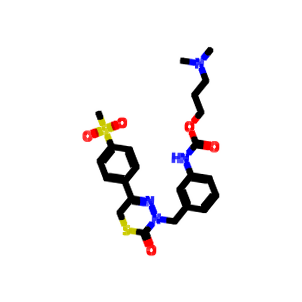 CN(C)CCCOC(=O)Nc1cccc(CN2N=C(c3ccc(S(C)(=O)=O)cc3)CSC2=O)c1